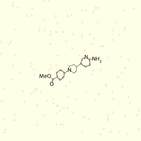 COC(=O)c1ccc(N2CCC(c3ccc(N)nc3)CC2)cc1